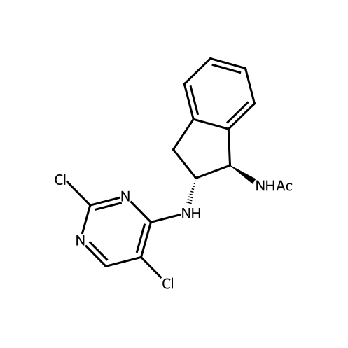 CC(=O)N[C@@H]1c2ccccc2C[C@H]1Nc1nc(Cl)ncc1Cl